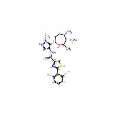 CO[C@H]1[C@H](N)CC[C@@H](c2c(NC(=O)c3csc(-c4c(F)cccc4F)n3)cnn2C)O[C@@H]1C